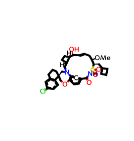 CO[C@@H]1C/C=C/[C@H](O)[C@@H]2CC[C@H]2CN2C[C@@]3(CCCc4cc(Cl)ccc43)COc3ccc(cc32)C(=O)NS(=O)(=O)[C@@H]1CC1CCC1